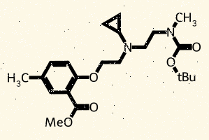 COC(=O)c1cc(C)ccc1OCCN(CCN(C)C(=O)OC(C)(C)C)C1CC1